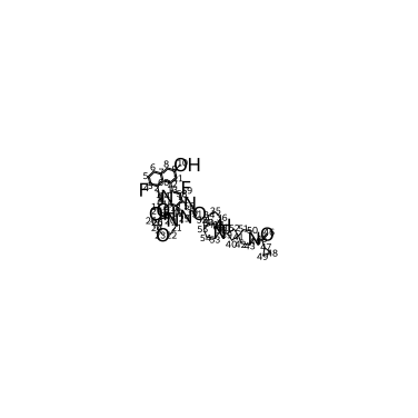 C#Cc1c(F)ccc2cc(O)cc(-c3nc(OC)c4c(N5CCOC[C@@](C)(O)C5)nc(OC[C@]56CCC[C@H]5N(C5CC7(CCN(C(=O)C8CC8)CC7)C5)CCC6)nc4c3F)c12